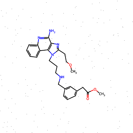 COCCc1nc2c(N)nc3ccccc3c2n1CCCNCc1cccc(CC(=O)OC)c1